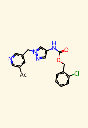 CC(=O)c1cncc(Cn2cc(NC(=O)OCc3ccccc3Cl)cn2)c1